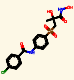 CC(O)(CS(=O)(=O)c1ccc(NC(=O)c2ccc(Cl)cc2)cc1)C(=O)NO